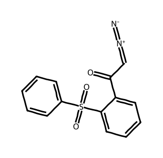 [N-]=[N+]=CC(=O)c1ccccc1S(=O)(=O)c1ccccc1